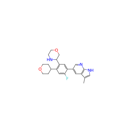 Cc1c[nH]c2ncc(-c3cc(C4COCCN4)c(C4CCOCC4)cc3F)cc12